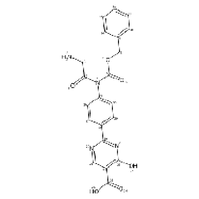 NCC(=O)N(C(=O)OCc1ccccc1)c1ccc(-c2ncc(C(=O)O)c(O)n2)cc1